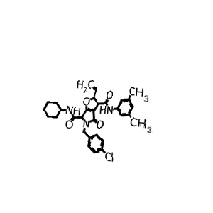 C=CC1OC2=C(C(=O)N(Cc3ccc(Cl)cc3)C2C(=O)NC2CCCCC2)C1C(=O)Nc1cc(C)cc(C)c1